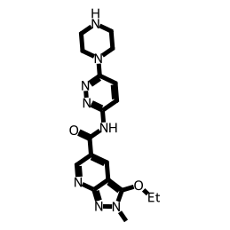 CCOc1c2cc(C(=O)Nc3ccc(N4CCNCC4)nn3)cnc2nn1C